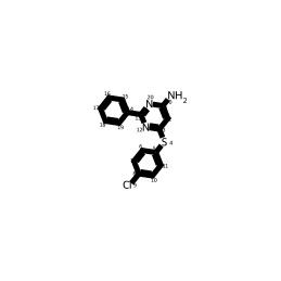 Nc1cc(Sc2ccc(Cl)cc2)nc(-c2ccccc2)n1